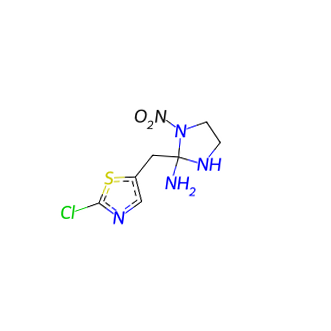 NC1(Cc2cnc(Cl)s2)NCCN1[N+](=O)[O-]